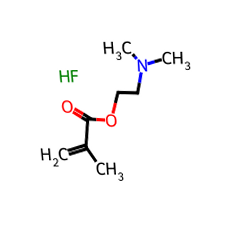 C=C(C)C(=O)OCCN(C)C.F